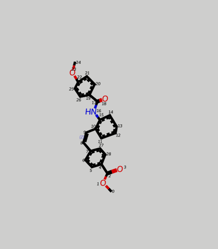 COC(=O)c1ccc(/C=C\c2ccccc2NC(=O)c2ccc(OC)cc2)cc1